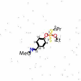 CCCSP(=S)(OCC)Oc1ccc(C=NOC)cc1